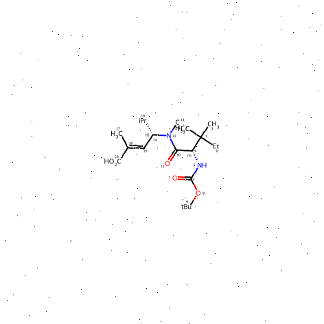 CCC(C)(C)[C@H](NC(=O)OC(C)(C)C)C(=O)N(C)[C@H](C=C(C)C(=O)O)C(C)C